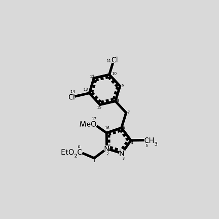 CCOC(=O)Cn1nc(C)c(Cc2cc(Cl)cc(Cl)c2)c1OC